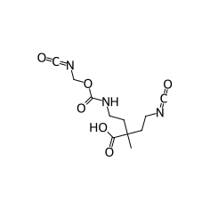 CC(CCN=C=O)(CCNC(=O)OCN=C=O)C(=O)O